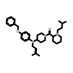 CC(C)=CCN(c1ccc(OCc2ccccc2)cc1)C1CCN(C(=O)C2CCCCN2CCC(C)C)CC1